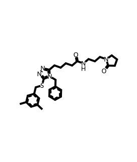 Cc1cc(C)cc(CSc2nnc(CCCCC(=O)NCCCN3CCCC3=O)n2Cc2ccccc2)c1